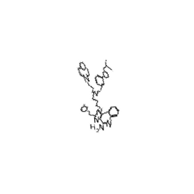 COCCc1nc2c(N)nc3ccccc3c2n1CCCCN(CCCN1CCOCC1)Cc1cccc(OCC(C)C)c1